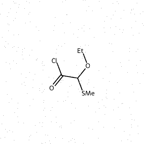 CCOC(SC)C(=O)Cl